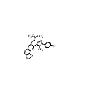 CN(C)CCN(Cc1ccc2c(c1)OCO2)C(=O)c1cnn(-c2ccc(Cl)cc2)c1C(F)(F)F